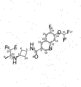 C[C@H](N[C@H]1C[C@H](NC(=O)c2cnc3cc(OC(F)F)c(F)cc3c2)C1)C(F)F